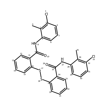 Cc1c(Cl)cccc1NC(=O)c1ccccc1SSc1ccccc1C(=O)Nc1cccc(Cl)c1C